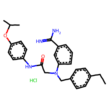 CCc1ccc(CN(CC(=O)Nc2ccc(OC(C)C)cc2)c2cccc(C(=N)N)c2)cc1.Cl